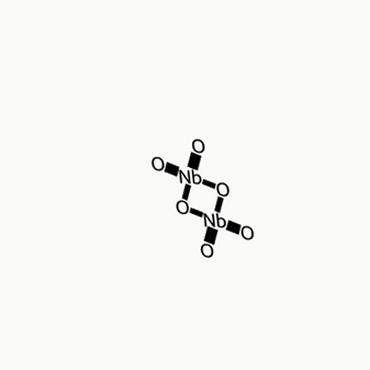 [O]=[Nb]1(=[O])[O][Nb](=[O])(=[O])[O]1